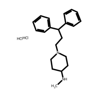 CNC1CCN(CCC(c2ccccc2)c2ccccc2)CC1.Cl.Cl